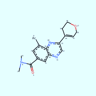 CC(=O)c1cc(C(=O)N(C)C)cc2ncc(C3=CCOCC3)nc12